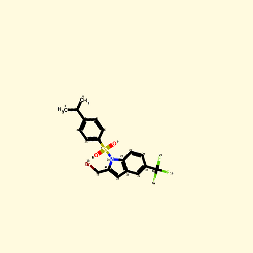 CC(C)c1ccc(S(=O)(=O)n2c(CBr)cc3cc(C(F)(F)F)ccc32)cc1